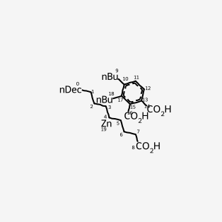 CCCCCCCCCCCCCCCCCC(=O)O.CCCCc1ccc(C(=O)O)c(C(=O)O)c1CCCC.[Zn]